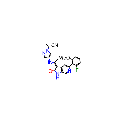 COc1cccc(F)c1-c1cc2c(cn1)NC(=O)/C2=C(/C)Nc1cnn([C@H](C)C#N)c1